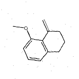 C=C1CCCc2cccc(OC)c21